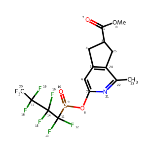 COC(=O)C1Cc2cc(OS(=O)C(F)(F)C(F)(F)C(F)(F)C(F)(F)F)nc(C)c2C1